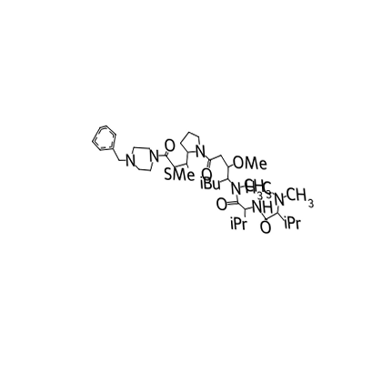 CCC(C)C(C(CC(=O)N1CCCC1C(CC(=O)N1CCN(Cc2ccccc2)CC1)SC)OC)N(C)C(=O)C(NC(=O)C(C(C)C)N(C)C)C(C)C